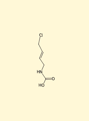 O=C(O)NCC=CCCl